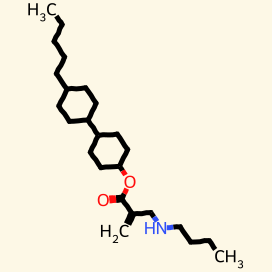 C=C(CNCCCC)C(=O)OC1CCC(C2CCC(CCCCC)CC2)CC1